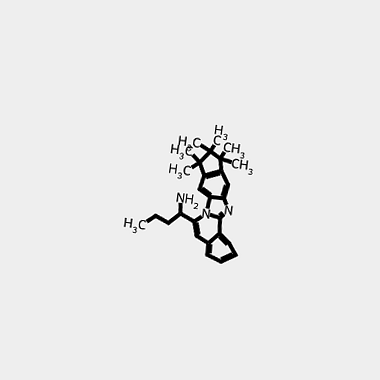 CCCC(N)c1cc2ccccc2c2nc3cc4c(cc3n12)C(C)(C)C(C)(C)C4(C)C